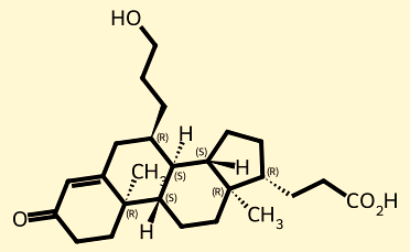 C[C@]12CC[C@H]3[C@@H]([C@H](CCCO)CC4=CC(=O)CC[C@@]43C)[C@@H]1CC[C@@H]2CCC(=O)O